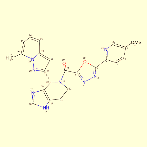 COc1ccc(-c2nnc(C(=O)N3CCc4[nH]cnc4[C@@H]3c3cc4cccc(C)n4n3)o2)nc1